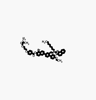 CCCCCCCCN(/N=C/c1cc(-c2ccc3c(Br)c(OC(=O)c4ccc(OCCCOC5OC5(C)C)cc4)ccc3c2)ccc1-c1ccc(OCC)cc1)c1nc2c(ccc3ccccc32)s1